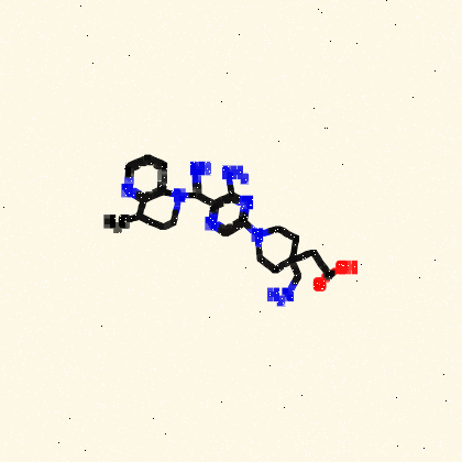 CC1CCN(C(=N)c2ncc(N3CCC(CN)(CC(=O)O)CC3)nc2N)c2cccnc21